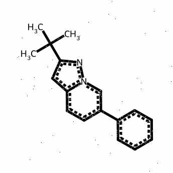 CC(C)(C)c1cc2ccc(-c3ccccc3)cn2n1